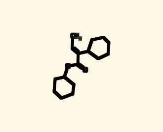 CC=C(C(=O)OC1CCCCC1)C1CCCCC1